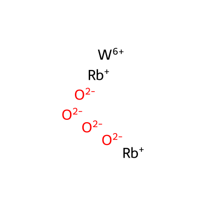 [O-2].[O-2].[O-2].[O-2].[Rb+].[Rb+].[W+6]